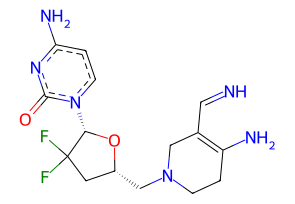 N=CC1=C(N)CCN(C[C@@H]2CC(F)(F)[C@H](n3ccc(N)nc3=O)O2)C1